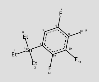 C[CH2][Sn]([CH2]C)([CH2]C)[c]1cc(F)c(F)c(F)c1F